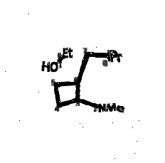 CCO.CNC1CCC1CC(C)C